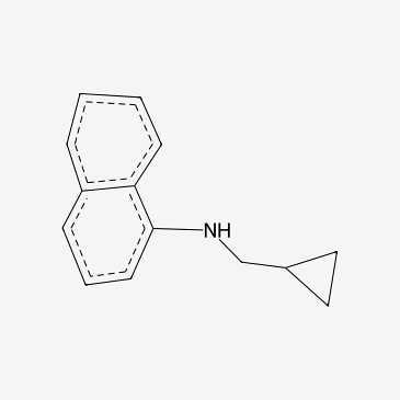 c1ccc2c(NCC3CC3)cccc2c1